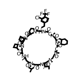 CC[C@H](C)[C@@H]1NC(=O)[C@H](CC(C)C)N(C)C(=O)C[C@@H](C)NC(=O)[C@H](CC2CCC2)N(C)C(=O)C2(CCCC2)NC(=O)[C@@H]2CCCN2C(=O)[C@H](CCc2ccc(C(F)(F)F)c(Cl)c2)NC(=O)CN(C)C(=O)[C@H](CC2CCCCC2)N(C)C(=O)CN(C)C(=O)CN(C)C1=O